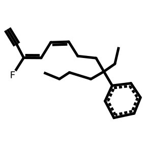 C#C/C(F)=C\C=C/CCC(CC)(CCCC)c1ccccc1